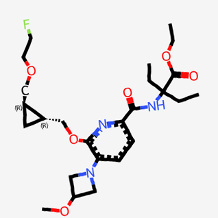 CCOC(=O)C(CC)(CC)NC(=O)c1ccc(N2CC(OC)C2)c(OC[C@@H]2C[C@H]2COCCF)n1